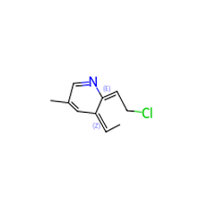 C/C=c1/cc(C)cn/c1=C/CCl